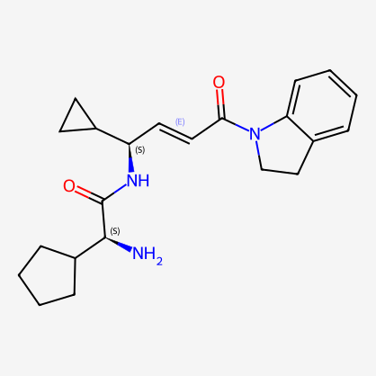 N[C@H](C(=O)N[C@H](/C=C/C(=O)N1CCc2ccccc21)C1CC1)C1CCCC1